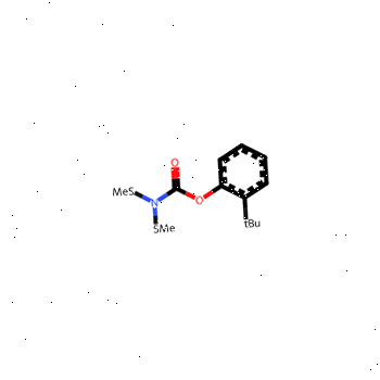 CSN(SC)C(=O)Oc1ccccc1C(C)(C)C